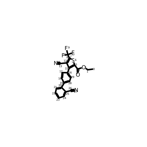 CCOC(=O)c1sc(C(F)(F)F)c(C#N)c1-c1ccc(-c2ccccc2C#N)cc1